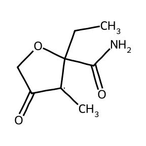 CCC1(C(N)=O)OCC(=O)[C]1C